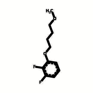 COCCCCOc1cccc(F)c1F